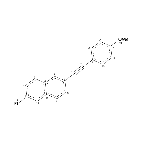 CCc1ccc2cc(C#Cc3ccc(OC)cc3)ccc2c1